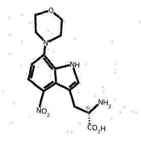 N[C@@H](Cc1c[nH]c2c(N3CCOCC3)ccc([N+](=O)[O-])c12)C(=O)O